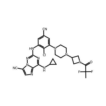 CC(F)(F)C(=O)N1CC(N2CCN(c3cc(C#N)cc(Nc4nc(NC5CC5)c5ncc(C#N)n5n4)c3Cl)CC2)C1